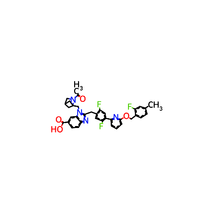 CC(=O)N1CC2CC1(Cn1c(Cc3cc(F)c(-c4cccc(OCc5ccc(C)cc5F)n4)cc3F)nc3ccc(C(=O)O)cc31)C2